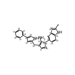 Cc1nc2cc(-n3ncc(Cc4cc(-c5ccccc5)c[nH]4)c3N)ccc2[nH]1